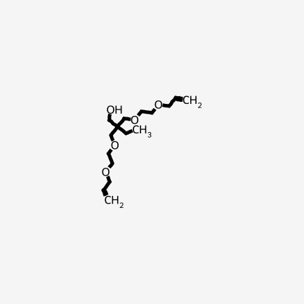 C=CCOCCOCC(CC)(CO)COCCOCC=C